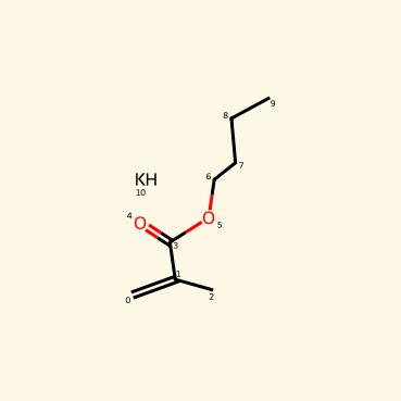 C=C(C)C(=O)OCCCC.[KH]